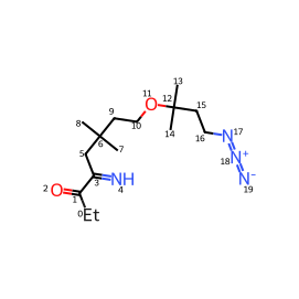 CCC(=O)C(=N)CC(C)(C)CCOC(C)(C)CCN=[N+]=[N-]